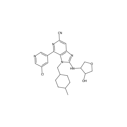 CC1CCC(Cn2c(NC3COCC3O)nc3cc(C#N)nc(-c4cncc(Cl)c4)c32)CC1